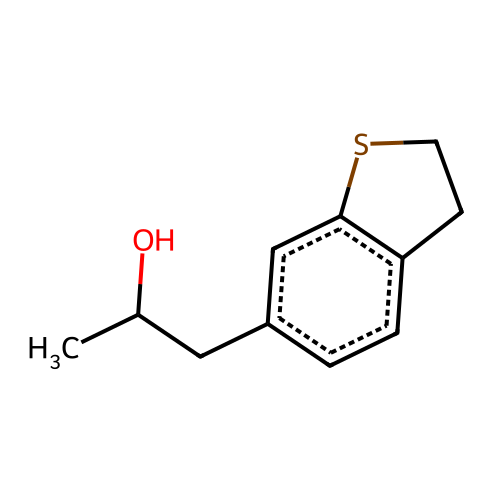 CC(O)Cc1ccc2c(c1)SCC2